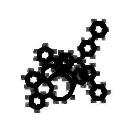 c1ccc(-c2ccc(N(c3ccc(-c4ccccc4)cc3)c3ccc4c(c3)C35CCC6CCCC7CC(CC(CC3)c3ccccc3-4)(c3ccccc3-c3ccccc37)C5c3ccccc3-c3ccccc36)cc2)cc1